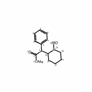 COC(=O)C(c1ccccc1)C1CCCCN1N=O